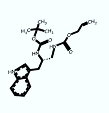 C=CCOC(=O)NC[C@H](Cc1c[nH]c2ccccc12)NC(=O)OC(C)(C)C